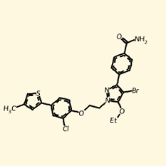 CCOc1c(Br)c(-c2ccc(C(N)=O)cc2)nn1CCOc1ccc(-c2cc(C)cs2)cc1Cl